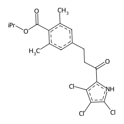 Cc1cc(CCC(=O)c2[nH]c(Cl)c(Cl)c2Cl)cc(C)c1C(=O)OC(C)C